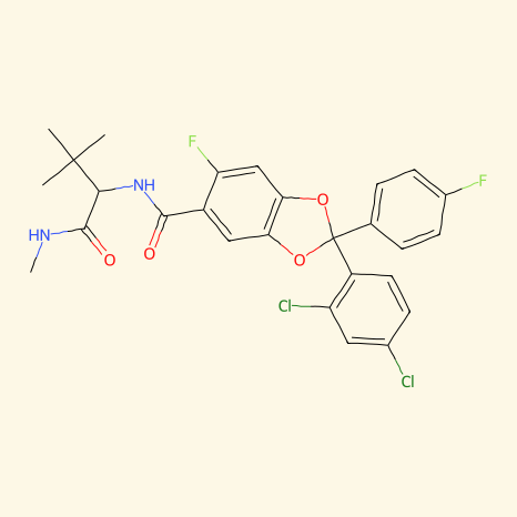 CNC(=O)C(NC(=O)c1cc2c(cc1F)OC(c1ccc(F)cc1)(c1ccc(Cl)cc1Cl)O2)C(C)(C)C